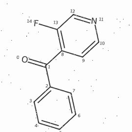 O=C(c1ccccc1)c1ccncc1F